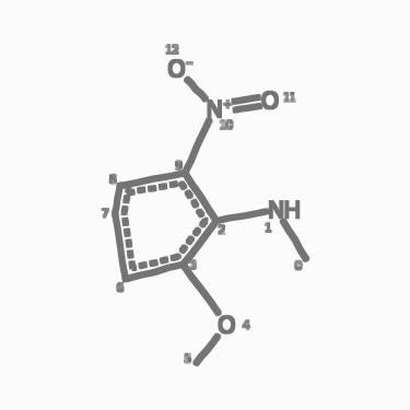 CNc1c(OC)cccc1[N+](=O)[O-]